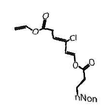 C=COC(=O)CC=C(Cl)C=COC(=O)CCCCCCCCCCC